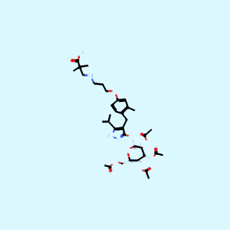 CC(=O)OC[C@H]1O[C@@H](Oc2n[nH]c(C(C)C)c2Cc2ccc(OCCCNCC(C)(C)C(=O)O)cc2C)[C@H](OC(C)=O)[C@@H](OC(C)=O)[C@@H]1OC(C)=O